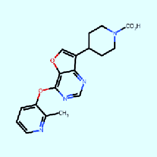 Cc1ncccc1Oc1ncnc2c(C3CCN(C(=O)O)CC3)coc12